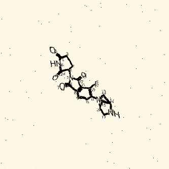 O=C1CCC(N2C(=O)c3ccc(N4CC5CC4CN5)c(F)c3C2=O)C(=O)N1